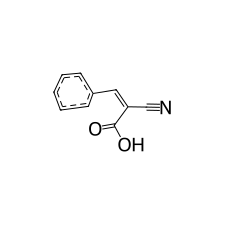 N#CC(=Cc1ccccc1)C(=O)O